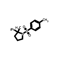 Cc1ccc(S(=O)(=O)N2CCCC2(C)C(C)C)cc1